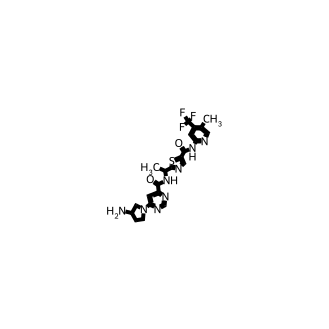 Cc1cnc(NC(=O)c2cnc(C(C)NC(=O)c3cc(N4CCC(N)C4)ncn3)s2)cc1C(F)(F)F